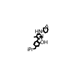 Cc1cc(N[C@H]2CCCN(C)C2)nnc1-c1ccc(CC(C)C)cc1O